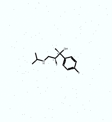 CC(C)NC[C@H](F)[C@](C)(O)c1ccc(F)cc1